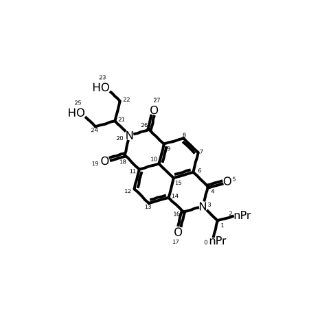 CCCC(CCC)N1C(=O)c2ccc3c4c(ccc(c24)C1=O)C(=O)N(C(CO)CO)C3=O